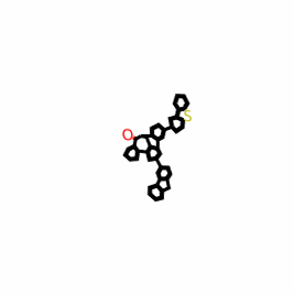 O=C1c2ccccc2-c2cc(-c3ccc4c(c3)-c3ccccc3C4)cc3c2CC1c1ccc(-c2ccc4sc5ccccc5c4c2)cc1-3